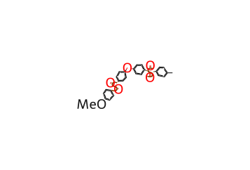 COc1ccc(S(=O)(=O)c2ccc(Oc3ccc(S(=O)(=O)c4ccc(C)cc4)cc3)cc2)cc1